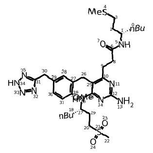 CCCC[C@@H](CCSC)NC(=O)CCc1nc(N)nc(N[C@@H](CCCC)CCS(C)(=O)=O)c1Cc1cc(Cc2nn[nH]n2)ccc1OC